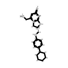 O=c1cc(CO)n2c(n1)O[C@H](COc1ccc(C3CCCCC3)cc1)C2